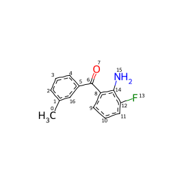 Cc1cccc(C(=O)c2cccc(F)c2N)c1